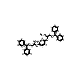 NC(COC(c1ccccc1)c1ccccc1)OC(=O)/C=C\C(=O)OC(N)COC(c1ccccc1)c1ccccc1